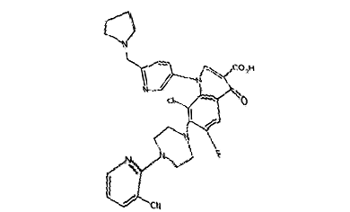 N#Cc1cccnc1N1CCN(c2c(F)cc3c(=O)c(C(=O)O)cn(-c4ccc(CN5CCCC5)nc4)c3c2Cl)CC1